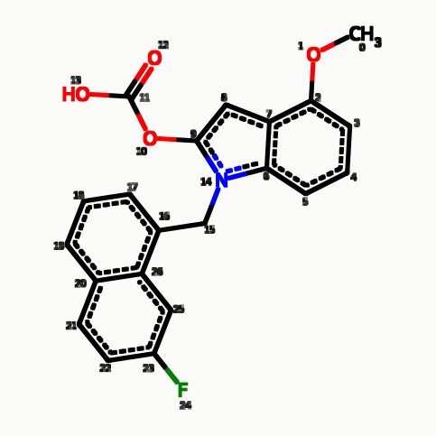 COc1cccc2c1cc(OC(=O)O)n2Cc1cccc2ccc(F)cc12